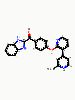 COc1cc(-c2cccnc2Oc2ccc(C(=O)C3Nc4ccccc4N3)cc2)ccn1